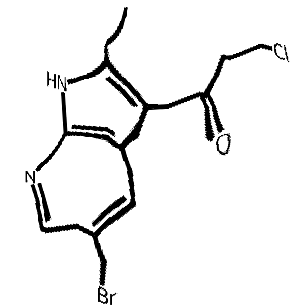 Cc1[nH]c2ncc(Br)cc2c1C(=O)CCl